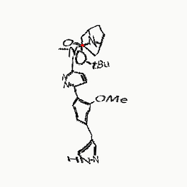 COc1cc(-c2cn[nH]c2)ccc1-c1ccc(N(C)C2CC3CCC(C2)N3C(=O)OC(C)(C)C)nn1